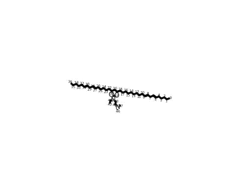 CCCCCC=CCC=CCCCCCCCCCC(CCCCCCCC=CCC=CCCCCC)OC(=O)N(CC)CCN(C)C